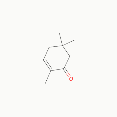 CC1=CCC(C)(C)CC1=O